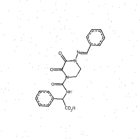 O=C(O)C(NC(=O)N1CCN(N=Cc2ccccc2)C(=O)C1=O)c1ccccc1